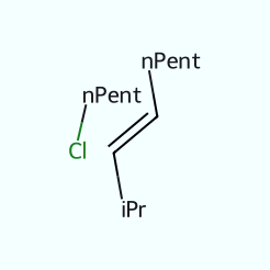 CCCCCC=CC(C)C.CCCCCCl